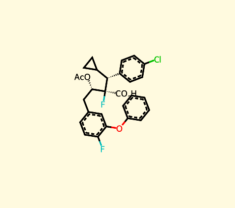 CC(=O)O[C@@H](Cc1ccc(F)c(Oc2ccccc2)c1)[C@@](F)(C(=O)O)[C@@H](c1ccc(Cl)cc1)C1CC1